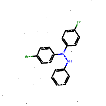 Brc1ccc(N(Nc2ccccc2)c2ccc(Br)cc2)cc1